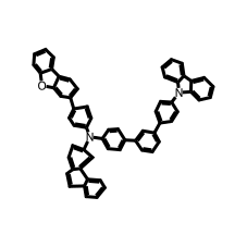 c1cc(-c2ccc(N(c3ccc(-c4ccc5c(c4)oc4ccccc45)cc3)c3ccc4ccc5ccccc5c4c3)cc2)cc(-c2ccc(-n3c4ccccc4c4ccccc43)cc2)c1